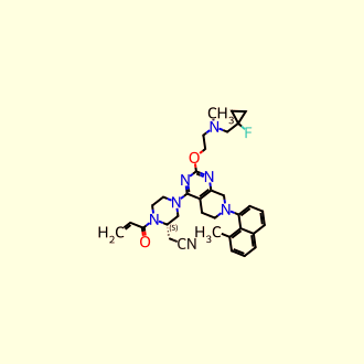 C=CC(=O)N1CCN(c2nc(OCCN(C)CC3(F)CC3)nc3c2CCN(c2cccc4cccc(C)c24)C3)C[C@@H]1CC#N